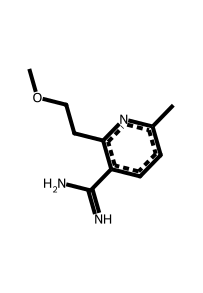 COCCc1nc(C)ccc1C(=N)N